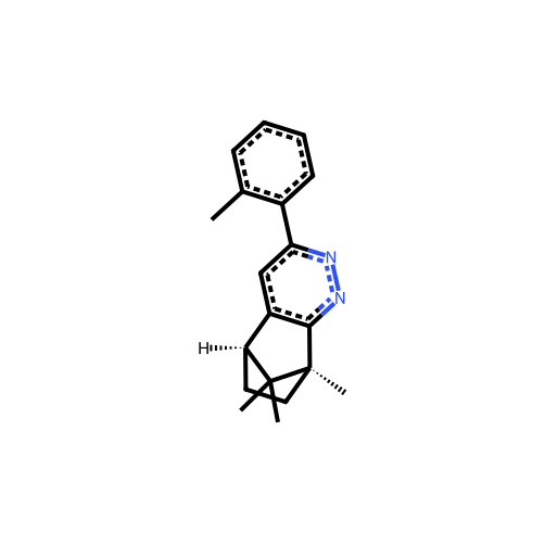 Cc1ccccc1-c1cc2c(nn1)[C@@]1(C)CC[C@@H]2C1(C)C